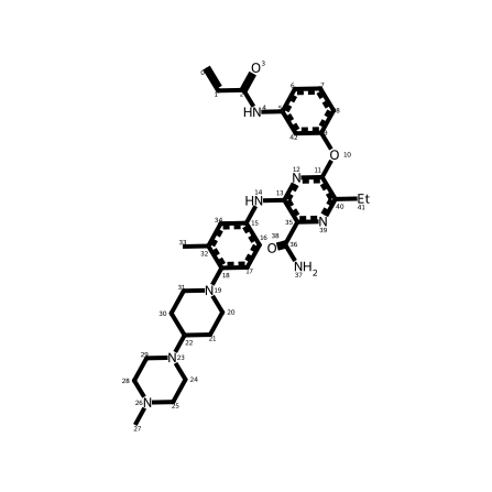 C=CC(=O)Nc1cccc(Oc2nc(Nc3ccc(N4CCC(N5CCN(C)CC5)CC4)c(C)c3)c(C(N)=O)nc2CC)c1